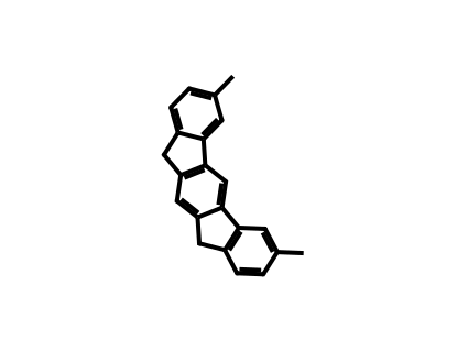 Cc1ccc2c(c1)-c1cc3c(cc1C2)Cc1ccc(C)cc1-3